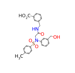 Cc1ccc(S(=O)(=O)N(CC(=O)NCc2cccc(C(=O)O)c2)c2cccc(CO)c2)cc1